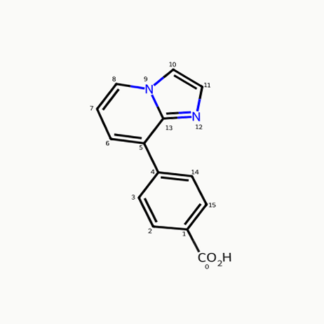 O=C(O)c1ccc(-c2cccn3ccnc23)cc1